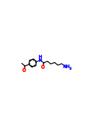 CC(=O)c1ccc(NC(=O)CCCCCN)cc1